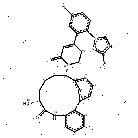 Cc1ncn(-c2ccc(Cl)cc2C2=CC(=O)N([C@H]3CCC[C@@H](C)C(=O)Nc4ccccc4-c4ccnc3c4)CC2)n1